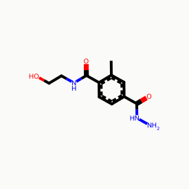 Cc1cc(C(=O)NN)ccc1C(=O)NCCO